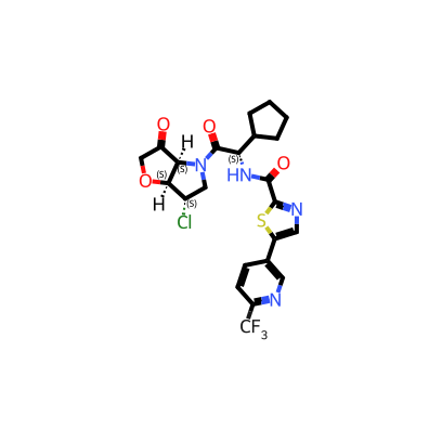 O=C(N[C@H](C(=O)N1C[C@H](Cl)[C@H]2OCC(=O)[C@H]21)C1CCCC1)c1ncc(-c2ccc(C(F)(F)F)nc2)s1